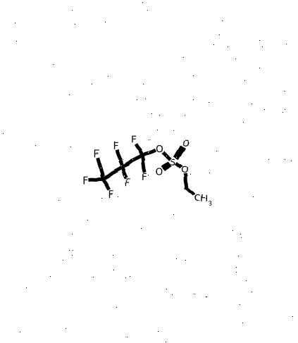 CCOS(=O)(=O)OC(F)(F)C(F)(F)C(F)(F)F